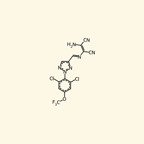 N#CC(N)=C(C#N)N=Cc1cnn(-c2c(Cl)cc(OC(F)(F)F)cc2Cl)n1